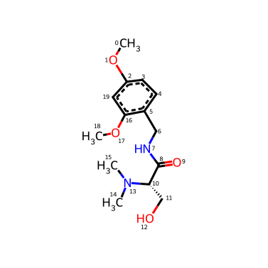 COc1ccc(CNC(=O)[C@H](CO)N(C)C)c(OC)c1